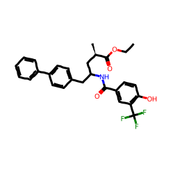 CCOC(=O)[C@H](C)CC(Cc1ccc(-c2ccccc2)cc1)NC(=O)c1ccc(O)c(C(F)(F)F)c1